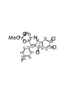 COC(=O)Oc1c(C(C)C)nc2c(c1-c1ccc(F)cc1)C(=O)c1cc(Cl)c(Cl)cc1-2